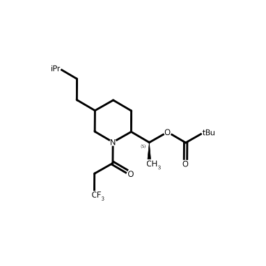 CC(C)CCC1CCC([C@H](C)OC(=O)C(C)(C)C)N(C(=O)CC(F)(F)F)C1